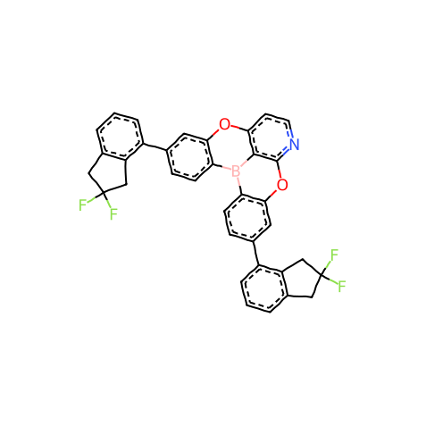 FC1(F)Cc2cccc(-c3ccc4c(c3)Oc3ccnc5c3B4c3ccc(-c4cccc6c4CC(F)(F)C6)cc3O5)c2C1